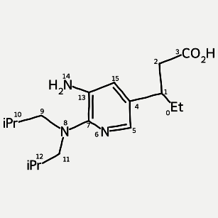 CCC(CC(=O)O)c1cnc(N(CC(C)C)CC(C)C)c(N)c1